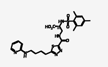 Cc1cc(C)c(S(=O)(=O)N[C@@H](CNC(=O)c2nnc(CCCCNc3ccccn3)s2)C(=O)O)c(C)c1